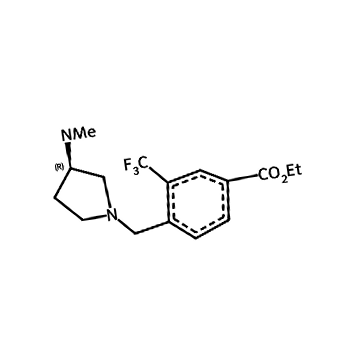 CCOC(=O)c1ccc(CN2CC[C@@H](NC)C2)c(C(F)(F)F)c1